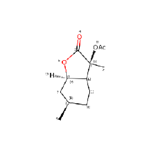 CC(=O)O[C@]1(C)C(=O)O[C@@H]2C[C@H](C)CCC21